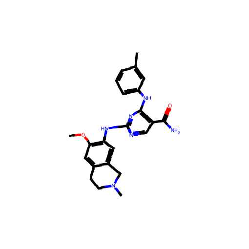 [CH2]c1cccc(Nc2nc(Nc3cc4c(cc3OC)CCN(C)C4)ncc2C(N)=O)c1